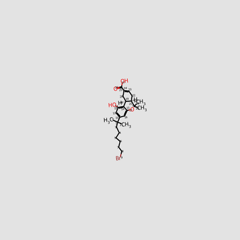 CC(C)(CCCCCCBr)c1cc(O)c2c(c1)OC(C)(C)[C@@H]1CC=C(C(=O)O)C[C@H]21